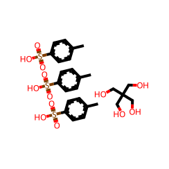 Cc1ccc(S(=O)(=O)O)cc1.Cc1ccc(S(=O)(=O)O)cc1.Cc1ccc(S(=O)(=O)O)cc1.OCC(CO)(CO)CO